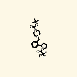 CC(C)(C)OC(=O)N1CCN(Cc2ccccc2C2CCCN2C(=O)C(F)(F)F)CC1